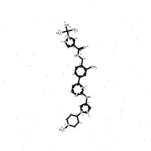 Cc1cc(-c2ccnc(Nc3cnn(C4CCN(C)CC4)c3)n2)ccc1CNC(=O)c1cnn(C(C)(C)C)c1